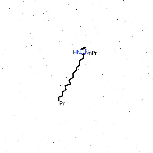 CCC[n+]1cc[nH]c1CCCCCCCCCCCCCCC(C)C